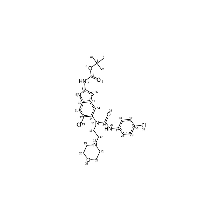 CC(C)(C)OC(=O)Nc1nc2cc(Cl)c(N(CCN3CCOCC3)C(=O)Nc3ccc(Cl)cc3)cc2s1